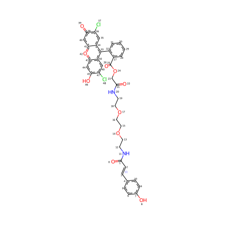 O=C(/C=C/c1ccc(O)cc1)NCCOCCOCCNC(=O)COC(=O)c1ccccc1-c1c2cc(Cl)c(=O)cc-2oc2cc(O)c(Cl)cc12